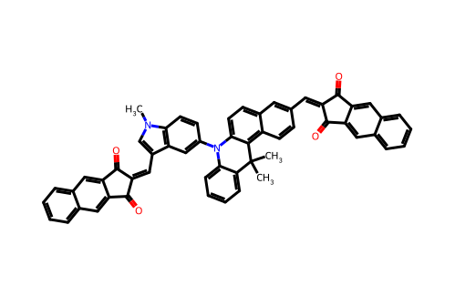 Cn1cc(C=C2C(=O)c3cc4ccccc4cc3C2=O)c2cc(N3c4ccccc4C(C)(C)c4c3ccc3cc(C=C5C(=O)c6cc7ccccc7cc6C5=O)ccc43)ccc21